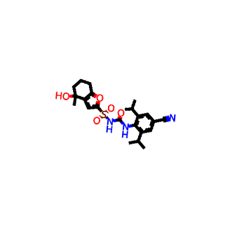 CC(C)c1cc(C#N)cc(C(C)C)c1NC(=O)NS(=O)(=O)c1cc2c(o1)CCCC2(C)O